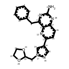 Nc1nc(Cc2ccccc2)c2nc(-c3cnn(CC4OCCO4)c3)ccc2n1